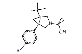 CC(C)(C)[C@@]12CN(C(=O)O)C[C@]1(c1ccc(Br)cc1)C2